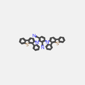 N#Cc1ccc(-n2c3ccccc3c3c4sc5ccccc5c4ccc32)c(C#N)c1-n1c2ccccc2c2c3sc4ccccc4c3ccc21